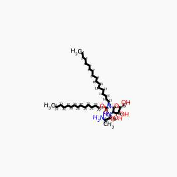 CCCCCCCCCCCCCCCCCCN(C(=O)OCCCCCCCCCCCCCC)[C@@H]1O[C@H](CO)[C@@H](O)[C@H](O)[C@H]1NC(=O)[C@H](C)N